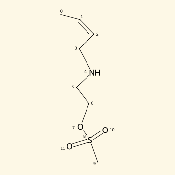 C/C=C\CNCCOS(C)(=O)=O